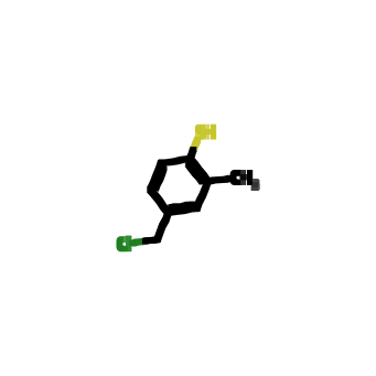 Cc1cc(CCl)ccc1S